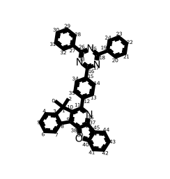 CC1(C)c2ccccc2-c2c1c(-c1ccc(-c3nc(-c4ccccc4)nc(-c4ccccc4)n3)cc1)nc1c2oc2ccccc21